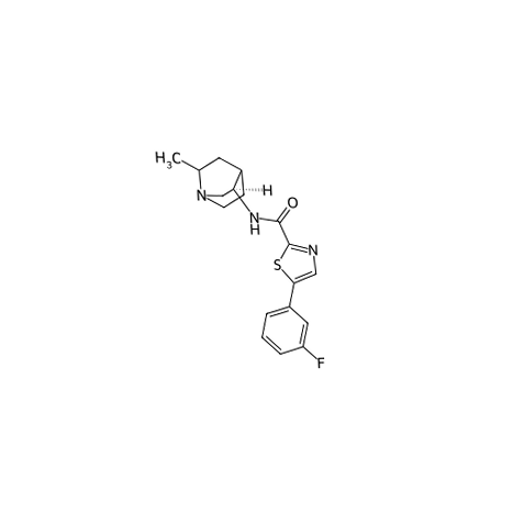 CC1CC2CCN1C[C@@H]2NC(=O)c1ncc(-c2cccc(F)c2)s1